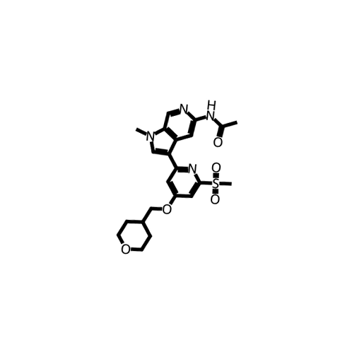 CC(=O)Nc1cc2c(-c3cc(OCC4CCOCC4)cc(S(C)(=O)=O)n3)cn(C)c2cn1